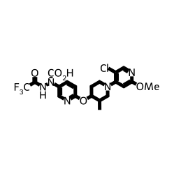 COc1cc(N2CCC(Oc3ccc(N(NC(=O)C(F)(F)F)C(=O)O)cn3)C(C)C2)c(Cl)cn1